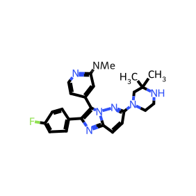 CNc1cc(-c2c(-c3ccc(F)cc3)nc3ccc(N4CCNC(C)(C)C4)nn23)ccn1